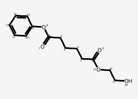 O=C(CCCCC(=O)Oc1ccccc1)OCCO